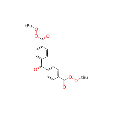 CC(C)(C)OOC(=O)c1ccc(C(=O)c2ccc(C(=O)OOC(C)(C)C)cc2)cc1